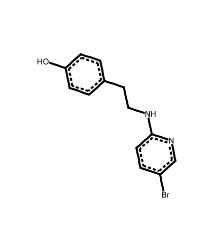 Oc1ccc(CCNc2ccc(Br)cn2)cc1